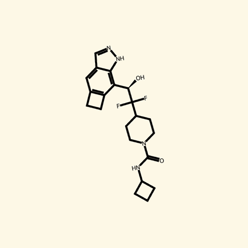 O=C(NC1CCC1)N1CCC(C(F)(F)[C@H](O)c2c3c(cc4cn[nH]c24)CC3)CC1